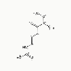 CON(C)C(=O)CCCNC(=O)O